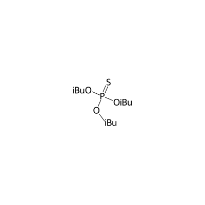 CCC(C)OP(=S)(OCC(C)C)OCC(C)C